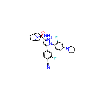 N#Cc1ccc(-c2cc(C(=O)N3C4CCC3CC(N)C4)nn2-c2ccc(N3CCCC3)cc2F)cc1F